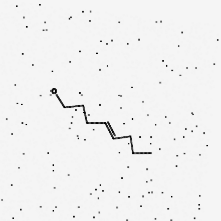 CCC/C=C/CCC[O]